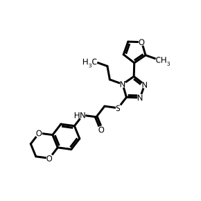 CCCn1c(SCC(=O)Nc2ccc3c(c2)OCCO3)nnc1-c1ccoc1C